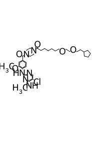 CNc1nc(Nc2ccc(C(=O)N3CCN(C(=O)CCCCCCOCCOCCC4CCCC4)CC3)cc2OC)ncc1Cl